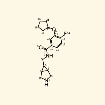 O=C(NCC1C2CNCC21)c1ccc(F)c(OC2CCCC2)c1